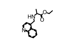 CCOC(=O)C(C)NCc1ccnc2ccccc12